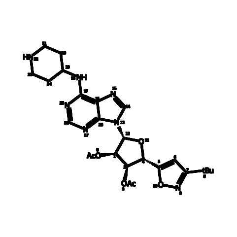 CC(=O)O[C@@H]1[C@H](OC(C)=O)[C@@H](c2cc(C(C)(C)C)no2)O[C@H]1n1cnc2c(NC3CCNCC3)ncnc21